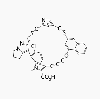 Cn1c(C(=O)O)c2c3ccc(Cl)c(c31)-c1c(nn3c1CCC3)CSCc1ncc(s1)CSc1cc(c3ccccc3c1)OCCC2